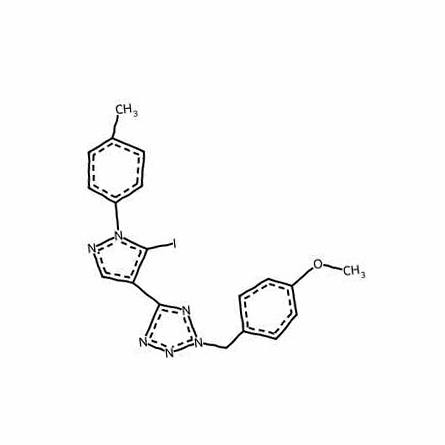 COc1ccc(Cn2nnc(-c3cnn(-c4ccc(C)cc4)c3I)n2)cc1